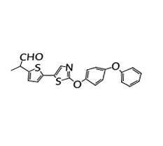 CC(C=O)c1ccc(-c2cnc(Oc3ccc(Oc4ccccc4)cc3)s2)s1